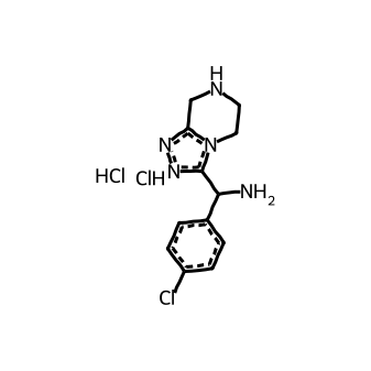 Cl.Cl.NC(c1ccc(Cl)cc1)c1nnc2n1CCNC2